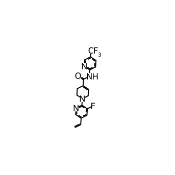 C=Cc1cnc(N2CC=C(C(=O)Nc3ccc(C(F)(F)F)cn3)CC2)c(F)c1